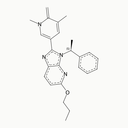 C=C1C(C)=CC(c2nc3ccc(OCCC)nc3n2[C@@H](C)c2ccccc2)=CN1C